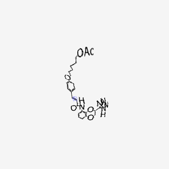 CC(=O)OCCCCCCOc1ccc(/C=C/C(=O)Nc2cccc3c2OC(c2nnn[nH]2)CO3)cc1